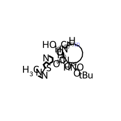 Cn1ccnc1-c1cc2nccc(O[C@@H]3C[C@H]4C(=O)N[C@]5(C(=O)O)C[C@H]5/C=C\CCCCC[C@H](NC(=O)OC(C)(C)C)C(=O)N4C3)c2s1